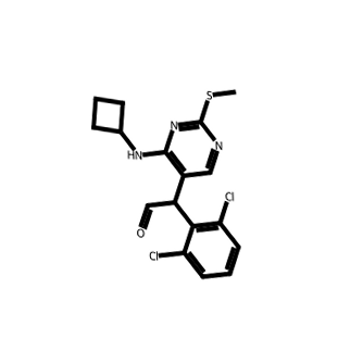 CSc1ncc(C(C=O)c2c(Cl)cccc2Cl)c(NC2CCC2)n1